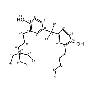 CCCCCc1cc(C(C)(C)c2ccc(O)c(CCC[Si](CC)(CC)CC)c2)ccc1O